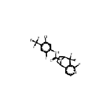 O=C(Nc1cc(Cl)c(C(F)(F)F)cc1F)N1C2CCC1C(F)(F)c1c2ccnc1F